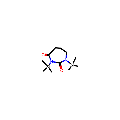 C[Si](C)(C)N1CCCC(=O)N([Si](C)(C)C)C1=O